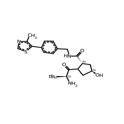 Cc1ncsc1-c1ccc(CNC(=O)[C@@H]2C[C@@H](O)CC2C(=O)[C@@H](N)C(C)(C)C)cc1